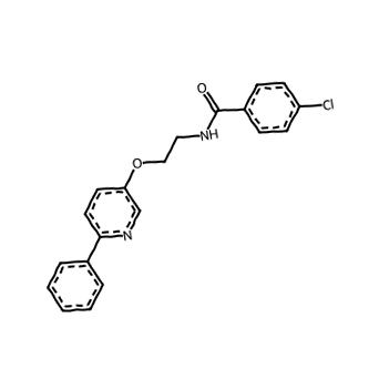 O=C(NCCOc1ccc(-c2ccccc2)nc1)c1ccc(Cl)cc1